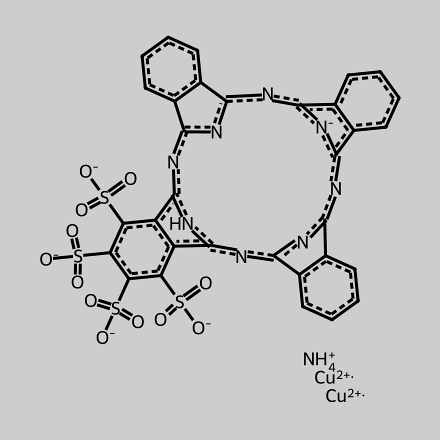 O=S(=O)([O-])c1c(S(=O)(=O)[O-])c(S(=O)(=O)[O-])c2c3nc4nc(nc5[n-]c(nc6nc(nc([nH]3)c2c1S(=O)(=O)[O-])-c1ccccc1-6)c1ccccc51)-c1ccccc1-4.[Cu+2].[Cu+2].[NH4+]